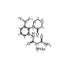 CC(=O)N[C@@H](C(N)=O)C(=O)Nc1cccc(C(F)F)c1N1CCOCC1=O